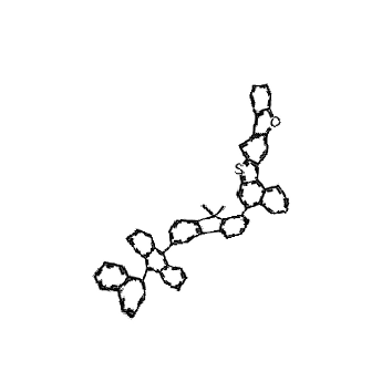 CC1(C)c2ccc(-c3c4ccccc4c(-c4cccc5ccccc45)c4ccccc34)cc2-c2cccc(-c3cc4sc5cc6c(cc5c4c4ccccc34)oc3ccccc36)c21